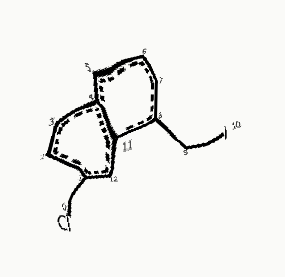 Clc1ccc2cccc(CI)c2c1